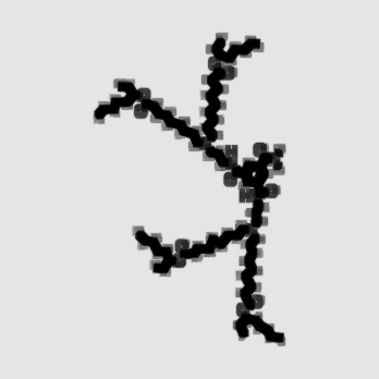 CCCCCC(CC)OC(=O)CCCCCCCCN(CCCCCCCCC(=O)OC(CC)CCCCC)CCCNC(=O)c1cc(C(=O)NCCCN(CCCCCCCCC(=O)OC(CC)CCCCC)CCCCCCCCC(=O)OC(CC)CCCCC)cc(C(=O)N(C)C)c1